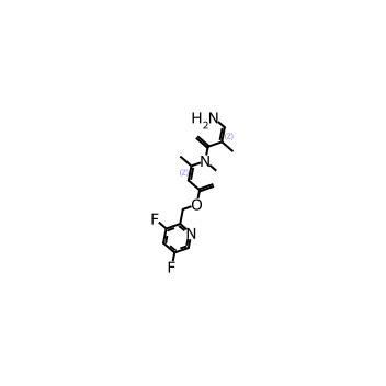 C=C(/C=C(/C)N(C)C(=C)/C(C)=C\N)OCc1ncc(F)cc1F